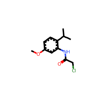 COc1ccc(C(C)C)c(NC(=O)CCl)c1